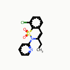 CCC1=Cc2cccc(Cl)c2S(=O)(=O)N1c1ccccn1